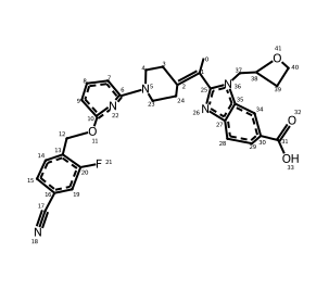 CC(=C1CCN(c2cccc(OCc3ccc(C#N)cc3F)n2)CC1)c1nc2ccc(C(=O)O)cc2n1CC1CCO1